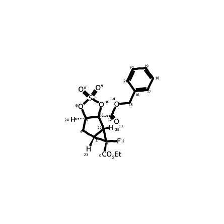 CCOC(=O)[C@@]1(F)[C@@H]2C[C@H]3OS(=O)(=O)O[C@@]3(C(=O)OCc3ccccc3)[C@@H]21